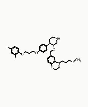 COCCCN1CCOc2ccc(CO[C@H]3CNCC[C@@H]3c3ccc(OCCCOc4ccc(F)cc4F)cc3)cc21